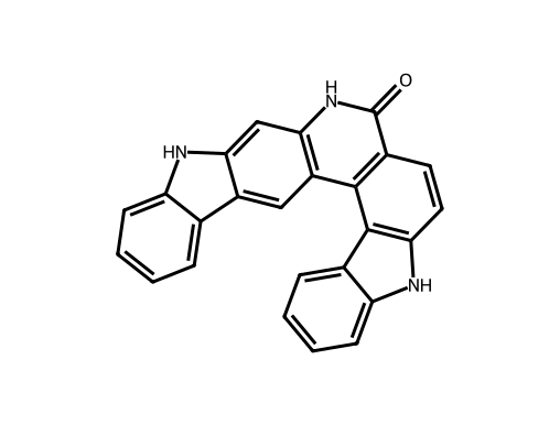 O=c1[nH]c2cc3[nH]c4ccccc4c3cc2c2c1ccc1[nH]c3ccccc3c12